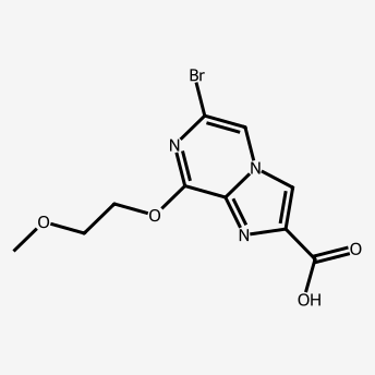 COCCOc1nc(Br)cn2cc(C(=O)O)nc12